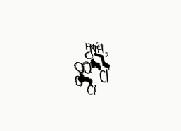 CCCCN.O=C([O-])CCl.O=C([O-])CCl.[Pt+2]